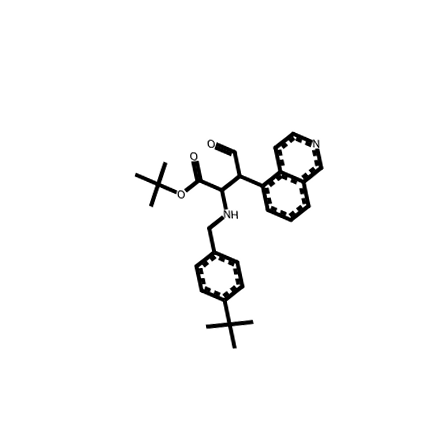 CC(C)(C)OC(=O)C(NCc1ccc(C(C)(C)C)cc1)C(C=O)c1cccc2cnccc12